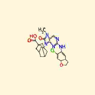 Cn1c(=O)n(C23CC4CC(CC(C(=O)O)(C4)C2)C3)c2nc(NC3=CC4CCOC4C=C3Cl)ncc21